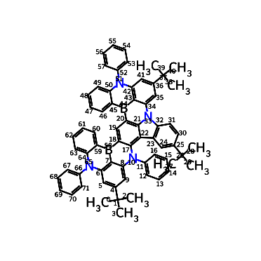 CC(C)(C)c1cc2c3c(c1)N(c1ccccc1)c1c(cc4c5c1c1cc(C(C)(C)C)ccc1n5-c1cc(C(C)(C)C)cc5c1B4c1ccccc1N5c1ccccc1)B3c1ccccc1N2c1ccccc1